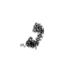 CC(=O)O[C@@H](C(=O)N1CCC[C@H]1c1ncc(-c2ccc(-c3ccc(-c4cnc([C@@H]5CCCN5C(=O)[C@@H](c5ccccc5F)N(C)C)[nH]4)cc3)cc2)[nH]1)c1ccccc1